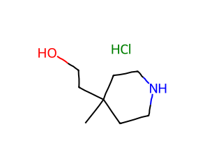 CC1(CCO)CCNCC1.Cl